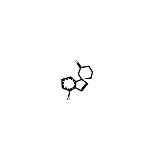 O=C1CCC[C@]2(C=Cc3c(Cl)cccc32)C1